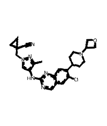 Cc1nn(CC2(C#N)CC2)cc1Nc1ncc2cc(Cl)c(C3CCN(C4COC4)CC3)cc2n1